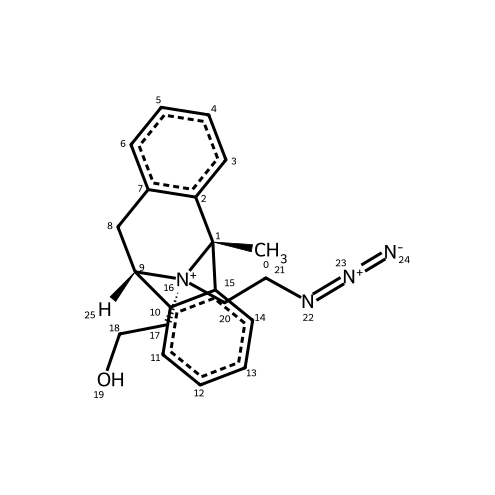 C[C@@]12c3ccccc3C[C@@H](c3ccccc31)[N@+]2(CCO)CCN=[N+]=[N-]